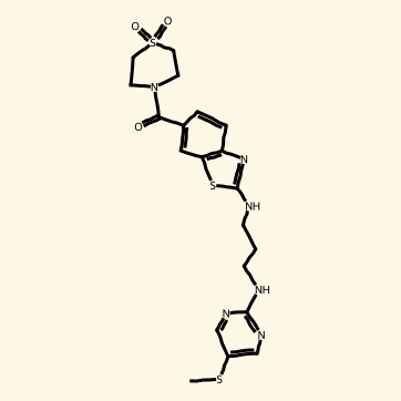 CSc1cnc(NCCCNc2nc3ccc(C(=O)N4CCS(=O)(=O)CC4)cc3s2)nc1